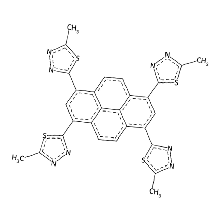 Cc1nnc(-c2cc(-c3nnc(C)s3)c3ccc4c(-c5nnc(C)s5)cc(-c5nnc(C)s5)c5ccc2c3c54)s1